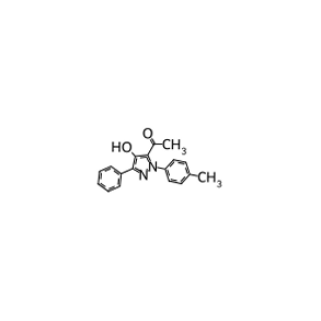 CC(=O)c1c(O)c(-c2ccccc2)nn1-c1ccc(C)cc1